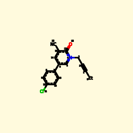 CCC#CCn1cc(-c2ccc(Cl)cc2)cc(C#N)c1=O